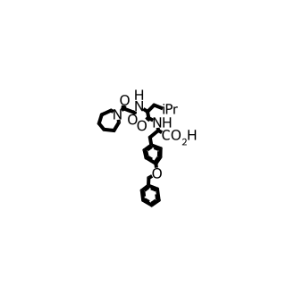 CC(C)CC(NC(=O)C(=O)N1CCCCCC1)C(=O)NC(Cc1ccc(OCc2ccccc2)cc1)C(=O)O